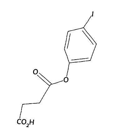 O=C(O)CCC(=O)Oc1ccc(I)cc1